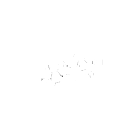 COc1cc2c(cc1O)CCN1Cc3c(ccc(OC)c3OC)C(C)C21